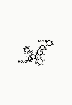 COc1ccccc1-c1ccc2cc(-c3c(C4CCCCC4)c4sc(C(=O)O)cc4n3Cc3ccncc3)ccc2n1